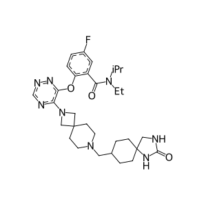 CCN(C(=O)c1cc(F)ccc1Oc1nncnc1N1CC2(CCN(CC3CCC4(CC3)CNC(=O)N4)CC2)C1)C(C)C